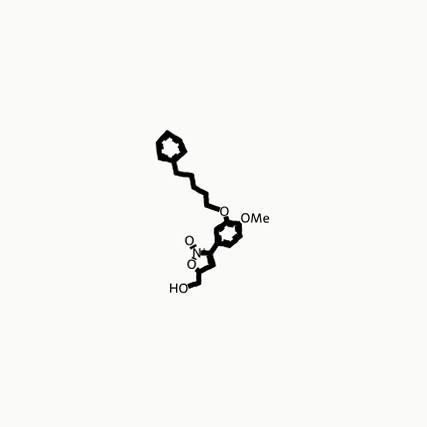 COc1ccc(C2=CC(CO)O[N+]2=O)cc1OCCCCCc1ccccc1